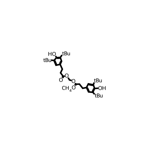 C.CC(C)(C)c1cc(CCC(=O)OCOC(=O)CCc2cc(C(C)(C)C)c(O)c(C(C)(C)C)c2)cc(C(C)(C)C)c1O